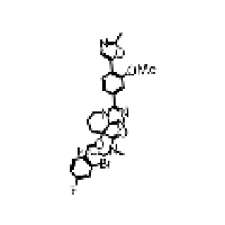 COc1cc(-c2nnc3n2CCCC3(OCc2ccc(F)cc2Br)C(=O)N(C)CC(F)(F)F)ccc1-c1cnc(C)o1